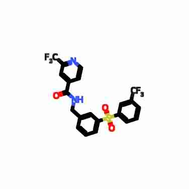 O=C(NCc1cccc(S(=O)(=O)c2cccc(C(F)(F)F)c2)c1)c1ccnc(C(F)(F)F)c1